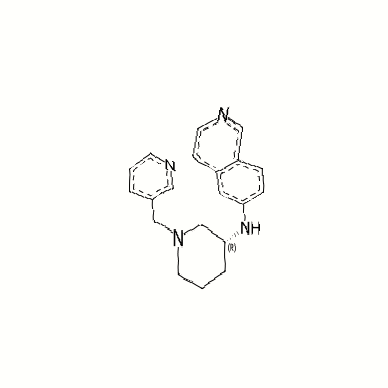 c1cncc(CN2CCC[C@@H](Nc3ccc4cnccc4c3)C2)c1